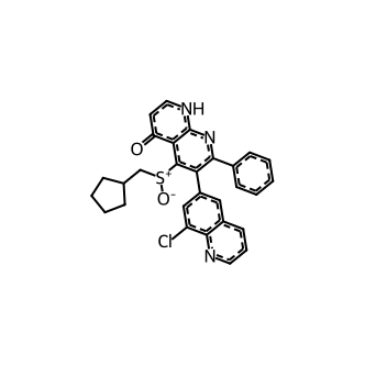 O=c1cc[nH]c2nc(-c3ccccc3)c(-c3cc(Cl)c4ncccc4c3)c([S+]([O-])CC3CCCC3)c12